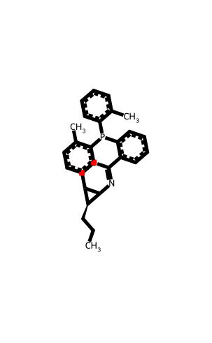 CCC[C@H]1C2COC(c3ccccc3P(c3ccccc3C)c3ccccc3C)=NC21